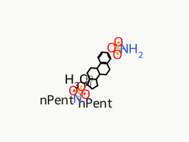 CCCCCN(CCCCC)S(=O)(=O)O[C@@H]1CCC2C3CCc4cc(OS(N)(=O)=O)ccc4C3CC[C@@]21C